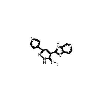 C=C1NN=C(c2ccncc2)C=C1c1nc2ccncc2[nH]1